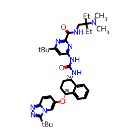 CCC(CC)(CNC(=O)c1nc(NC(=O)N[C@H]2CC[C@@H](Oc3ccc4nnc(C(C)(C)C)n4c3)c3ccccc32)cc(C(C)(C)C)n1)N(C)C